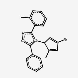 CC1=CC(Br)=CC1n1c(-c2ccccc2)nnc1-c1ccccc1C